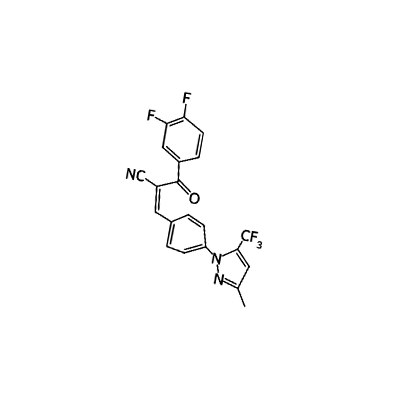 Cc1cc(C(F)(F)F)n(-c2ccc(C=C(C#N)C(=O)c3ccc(F)c(F)c3)cc2)n1